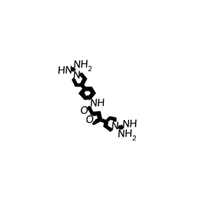 N=C(N)N1CC=C(c2ccc(NC(=O)c3cc(C4=CCN(C(=N)N)CC4)co3)cc2)CC1